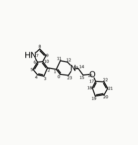 C1=C(c2cccc3[nH]ccc23)CCN(CCOc2ccccc2)C1